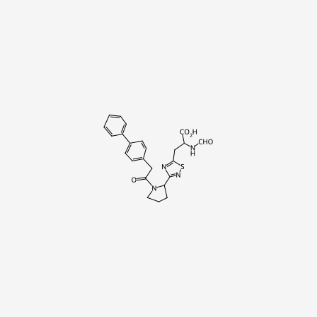 O=CNC(Cc1nc(C2CCCN2C(=O)Cc2ccc(-c3ccccc3)cc2)ns1)C(=O)O